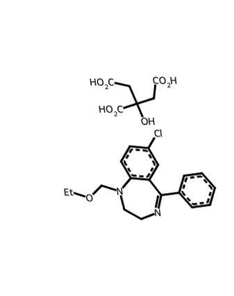 CCOCN1CCN=C(c2ccccc2)c2cc(Cl)ccc21.O=C(O)CC(O)(CC(=O)O)C(=O)O